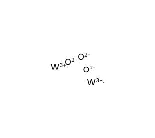 [O-2].[O-2].[O-2].[W+3].[W+3]